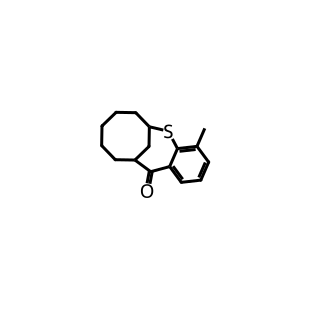 Cc1cccc2c1SC1CCCCCC(C1)C2=O